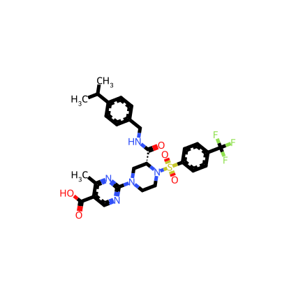 Cc1nc(N2CCN(S(=O)(=O)c3ccc(C(F)(F)F)cc3)[C@@H](C(=O)NCc3ccc(C(C)C)cc3)C2)ncc1C(=O)O